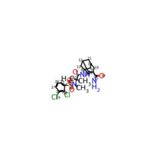 CN(C(C)(C)C(=O)NC12CC3CC(C1)CC(C(N)=O)(C3)C2)S(=O)(=O)c1cccc(Cl)c1Cl